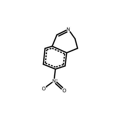 O=[N+]([O-])c1ccc2c(c1)CCN=C2